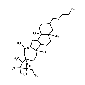 CCCC12CCC(C)(C(C)C(C)(N)C(C)(C)CC(C)CC)CC(C)=C1CC1C2CCC2(C)CC(CCCCC(C)CC)CCC12C